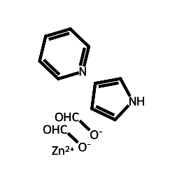 O=C[O-].O=C[O-].[Zn+2].c1cc[nH]c1.c1ccncc1